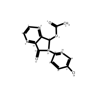 CC(=O)OC1c2nccnc2C(=O)N1c1ccc(Cl)cn1